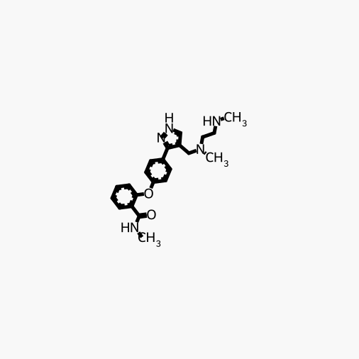 CNCCN(C)Cc1c[nH]nc1-c1ccc(Oc2ccccc2C(=O)NC)cc1